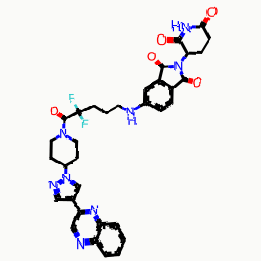 O=C1CCC(N2C(=O)c3ccc(NCCCC(F)(F)C(=O)N4CCC(n5cc(-c6cnc7ccccc7n6)cn5)CC4)cc3C2=O)C(=O)N1